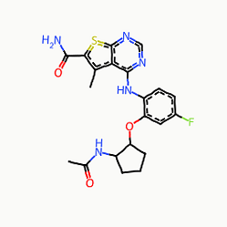 CC(=O)NC1CCCC1Oc1cc(F)ccc1Nc1ncnc2sc(C(N)=O)c(C)c12